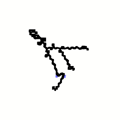 CCCCC/C=C\C/C=C\CCCCCCCC(=O)OCC(COC(=O)CCC(OCCCCCCCC)OCCCCCCCC)COC(=O)NC1CN(CC)C1